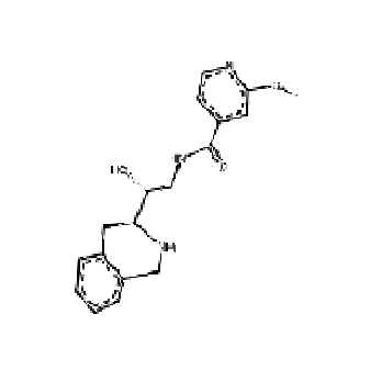 COc1cc(C(=O)NC[C@@H](O)[C@@H]2Cc3ccccc3CN2)ccn1